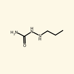 CCC[SiH]NC(N)=O